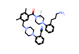 Cc1cc(C)c(C(=O)N2CCN(c3ccccc3CCCN)C[C@H]2C)cc1CN1CCN(c2ccccc2C#N)CC1